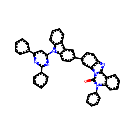 O=c1n(-c2ccccc2)c2ccccc2c2nc3ccc(-c4ccc5c(c4)c4ccccc4n5-c4cc(-c5ccccc5)nc(-c5ccccc5)n4)cc3n12